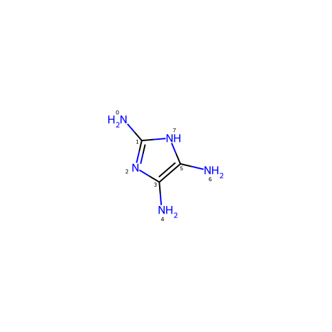 Nc1nc(N)c(N)[nH]1